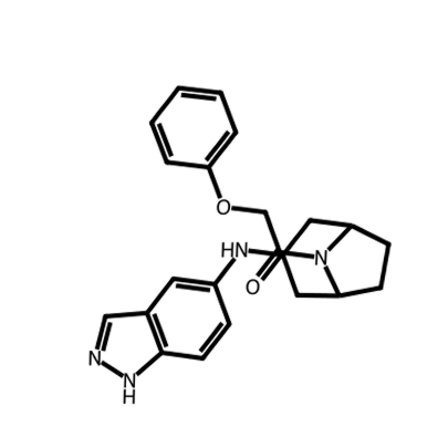 O=C(COc1ccccc1)N1C2CCC1CC(Nc1ccc3[nH]ncc3c1)C2